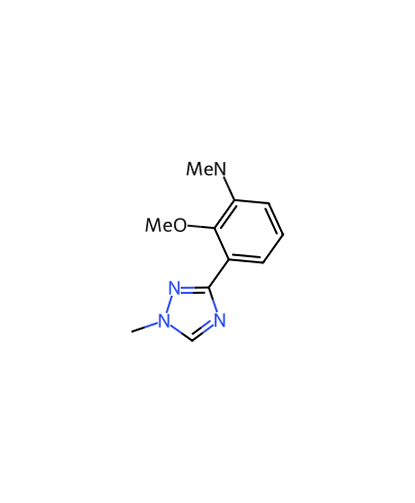 CNc1cccc(-c2ncn(C)n2)c1OC